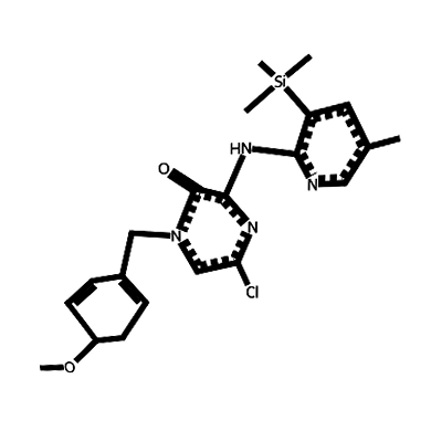 COC1C=CC(Cn2cc(Cl)nc(Nc3ncc(C)cc3[Si](C)(C)C)c2=O)=CC1